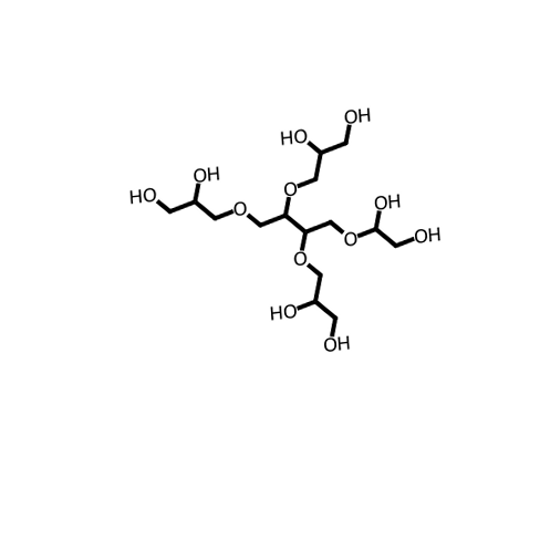 OCC(O)COCC(OCC(O)CO)C(COC(O)CO)OCC(O)CO